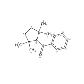 CC1(C)CCC(C)(C)N1C(=O)c1ccccc1